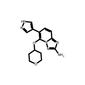 Nc1nc2ccc(-c3cn[nH]c3)c(OC3CCOCC3)n2n1